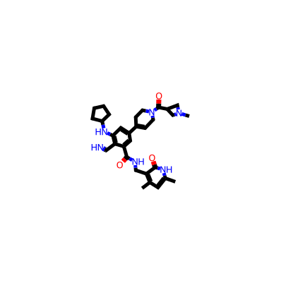 Cc1cc(C)c(CNC(=O)c2cc(C3=CCN(C(=O)C4CN(C)C4)CC3)cc(NC3CCCC3)c2C=N)c(=O)[nH]1